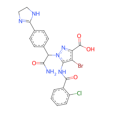 NC(=O)C(c1ccc(C2=NCCN2)cc1)n1nc(C(=O)O)c(Br)c1NC(=O)c1ccccc1Cl